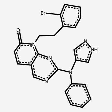 O=c1ccc2cnc(N(c3ccccc3)c3cn[nH]c3)nc2n1CCc1ccccc1Br